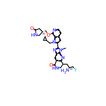 Cn1c(-c2cc3ccnc(OC[C@@H]4CNC(=O)C4)c3n2CC2CC2)nc2cc3c(nc21)C(C[C@H](N)CF)CNC3=O